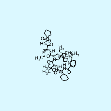 C=C[C@@H]1C[C@]1(NC(=O)[C@@H]1C[C@@]2(CN1C(=O)[C@@H](NC(=O)[C@@H](NC(=O)c1cccc(N(C)C)n1)C1CCCCC1)C(C)(C)C)C(C)(C)C21CCC1)C(=O)NS(=O)(=O)N1CCCC1